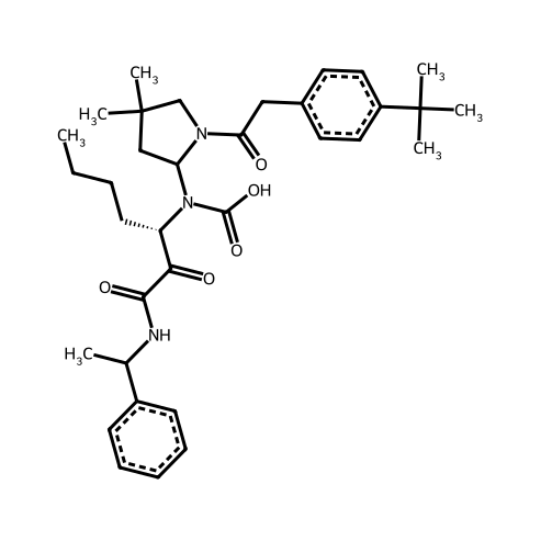 CCCC[C@@H](C(=O)C(=O)NC(C)c1ccccc1)N(C(=O)O)C1CC(C)(C)CN1C(=O)Cc1ccc(C(C)(C)C)cc1